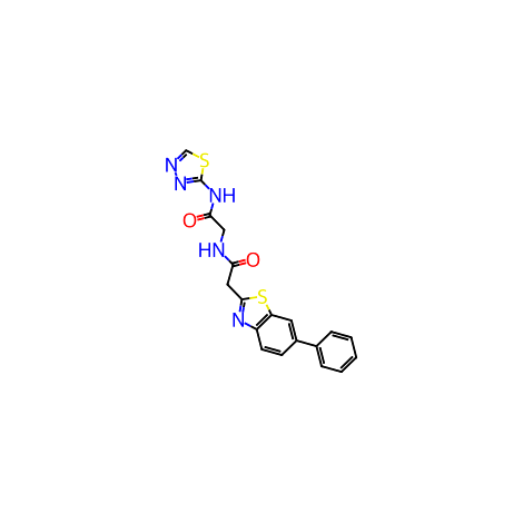 O=C(Cc1nc2ccc(-c3ccccc3)cc2s1)NCC(=O)Nc1nncs1